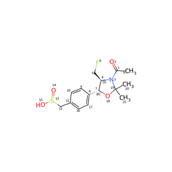 CC(=O)N1[C@H](CF)[C@@H](c2ccc(CS(=O)O)cc2)OC1(C)C